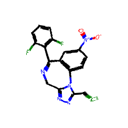 O=[N+]([O-])c1ccc2c(c1)C(c1c(F)cccc1F)=NCc1nnc(CCl)n1-2